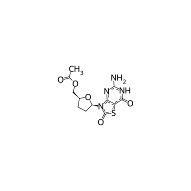 CC(=O)OC[C@@H]1CC[C@H](n2c(=O)sc3c(=O)[nH]c(N)nc32)O1